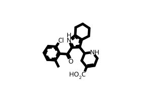 Cc1cccc(Cl)c1C(=O)c1[nH]c2c(c1C1CC(C(=O)O)=CCN1)CCCC2